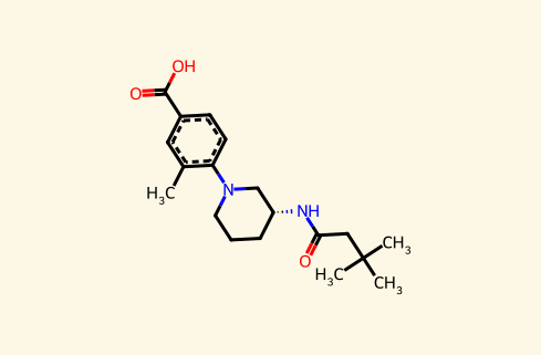 Cc1cc(C(=O)O)ccc1N1CCC[C@@H](NC(=O)CC(C)(C)C)C1